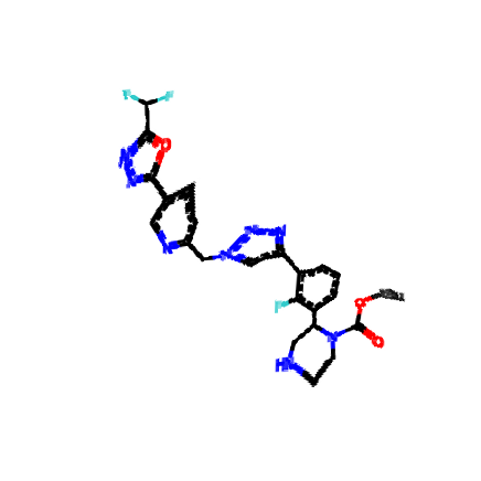 CC(C)(C)OC(=O)N1CCNCC1c1cccc(-c2cn(Cc3ccc(-c4nnc(C(F)F)o4)cn3)nn2)c1F